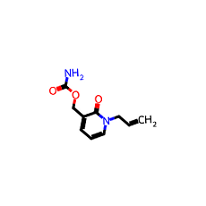 C=CCn1cccc(COC(N)=O)c1=O